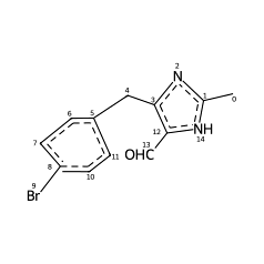 Cc1nc(Cc2ccc(Br)cc2)c(C=O)[nH]1